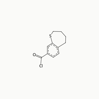 O=C(Cl)c1ccc2c(c1)SCCCC2